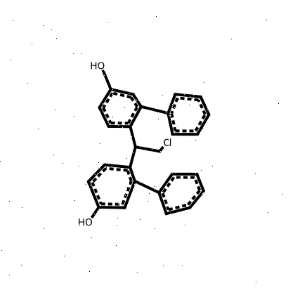 Oc1ccc(C(CCl)c2ccc(O)cc2-c2ccccc2)c(-c2ccccc2)c1